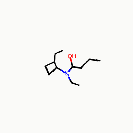 CCCC(O)N(CC)C1CCC1CC